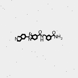 Cn1c(-c2ccc3cnccc3c2)nc2ccc(C(=O)NCc3cccc(C(N)=O)c3)cc21